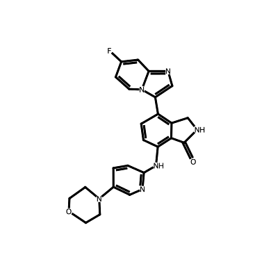 O=C1NCc2c(-c3cnc4cc(F)ccn34)ccc(Nc3ccc(N4CCOCC4)cn3)c21